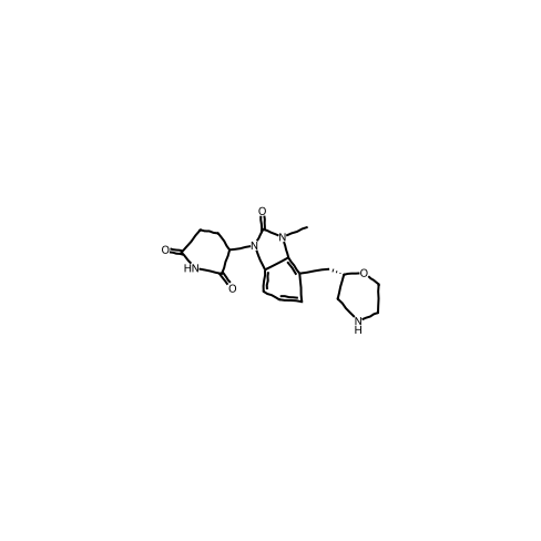 Cn1c(=O)n(C2CCC(=O)NC2=O)c2cccc(C[C@H]3CNCCO3)c21